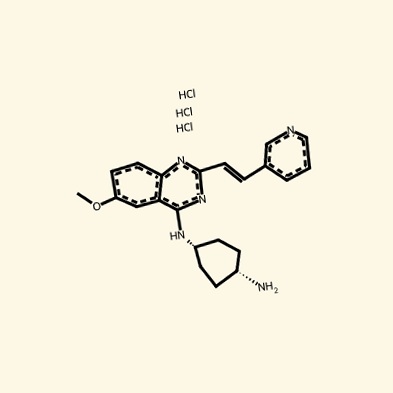 COc1ccc2nc(C=Cc3cccnc3)nc(N[C@H]3CC[C@@H](N)CC3)c2c1.Cl.Cl.Cl